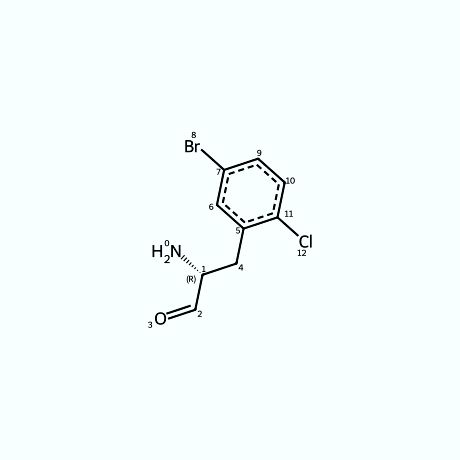 N[C@@H](C=O)Cc1cc(Br)ccc1Cl